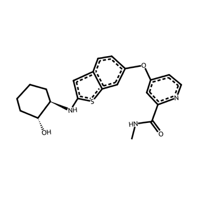 CNC(=O)c1cc(Oc2ccc3cc(N[C@@H]4CCCC[C@H]4O)sc3c2)ccn1